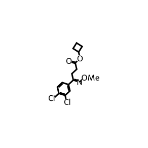 CO/N=C(\CCC(=O)OC1CCC1)c1ccc(Cl)c(Cl)c1